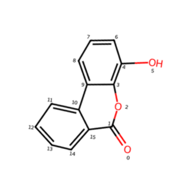 O=c1oc2c(O)cccc2c2ccccc12